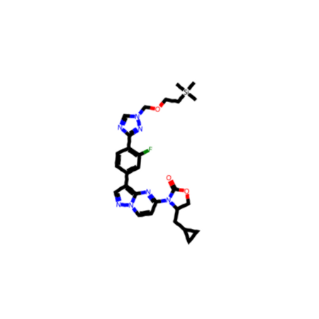 C[Si](C)(C)CCOCn1cnc(-c2ccc(-c3cnn4ccc(N5C(=O)OCC5CC5CC5)nc34)cc2F)n1